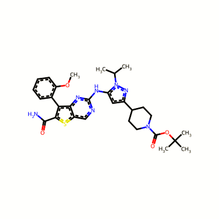 COc1ccccc1-c1c(C(N)=O)sc2cnc(Nc3cc(C4CCN(C(=O)OC(C)(C)C)CC4)nn3C(C)C)nc12